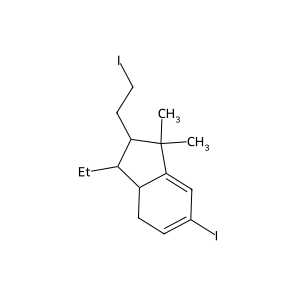 CCC1C2CC=C(I)C=C2C(C)(C)C1CCI